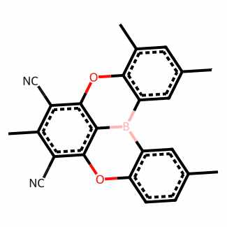 Cc1ccc2c(c1)B1c3cc(C)cc(C)c3Oc3c(C#N)c(C)c(C#N)c(c31)O2